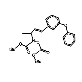 CC(C=Cc1cccc(Oc2ccccc2)c1)N(OC(=O)OC(C)(C)C)C(=O)OC(C)(C)C